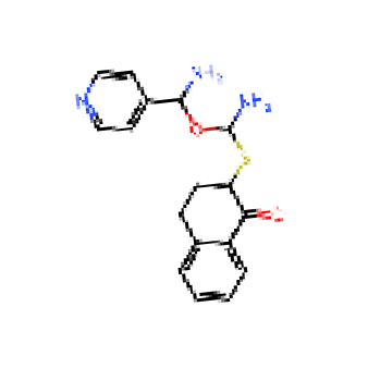 NC(OC(N)c1ccncc1)SC1CCc2ccccc2C1=O